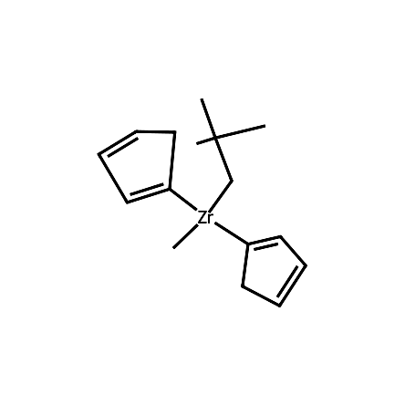 CC(C)(C)[CH2][Zr]([CH3])([C]1=CC=CC1)[C]1=CC=CC1